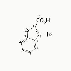 O=C(O)c1sc2ccccc2c1I